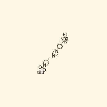 CCc1nc(-c2ccc(N3CCN(CCC4CCN(C(=O)OC(C)(C)C)CC4)CC3)cc2)no1